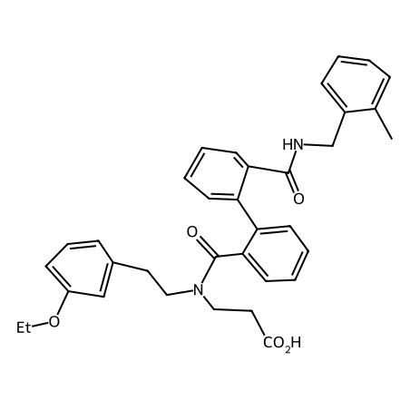 CCOc1cccc(CCN(CCC(=O)O)C(=O)c2ccccc2-c2ccccc2C(=O)NCc2ccccc2C)c1